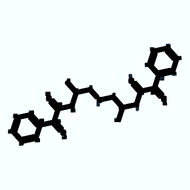 CC(COCC(C)OC(=O)C(=O)c1ccccc1)OC(=O)C(=O)c1ccccc1